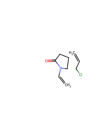 C=CCCl.C=CN1CCCC1=O